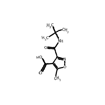 Cc1onc(C(=O)NC(C)(C)C)c1C(=O)O